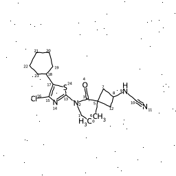 CCN(C(=O)C1(C)CC(NC#N)C1)c1nc(Cl)c(C2CCCCC2)s1